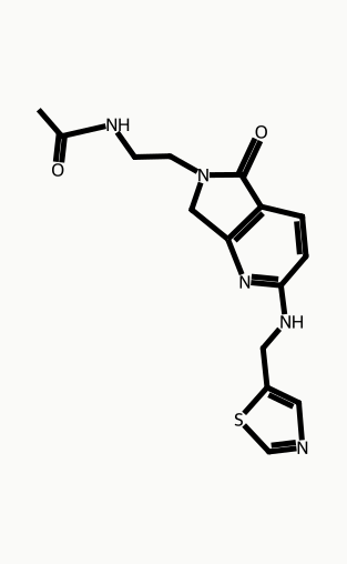 CC(=O)NCCN1Cc2nc(NCc3cncs3)ccc2C1=O